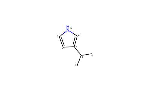 CC(C)c1[c][nH]cc1